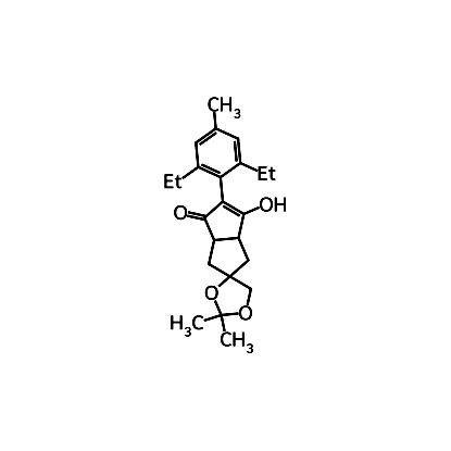 CCc1cc(C)cc(CC)c1C1=C(O)C2CC3(COC(C)(C)O3)CC2C1=O